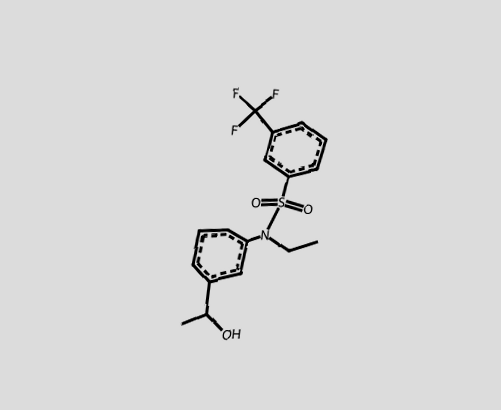 CCN(c1cccc(C(C)O)c1)S(=O)(=O)c1cccc(C(F)(F)F)c1